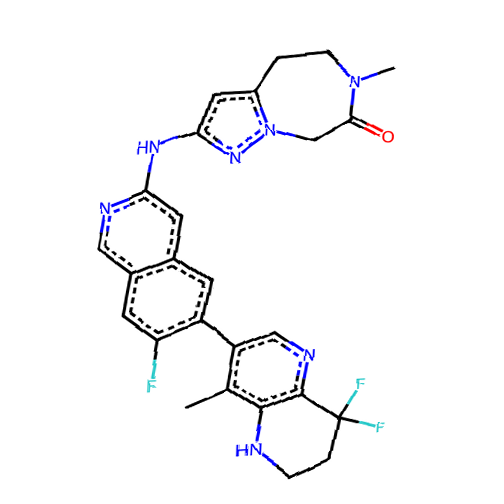 Cc1c(-c2cc3cc(Nc4cc5n(n4)CC(=O)N(C)CC5)ncc3cc2F)cnc2c1NCCC2(F)F